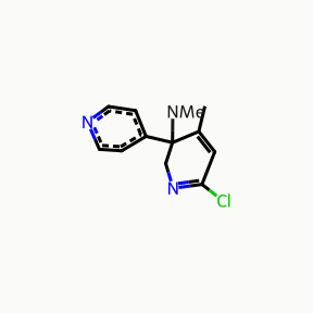 CNC1(c2ccncc2)CN=C(Cl)C=C1C